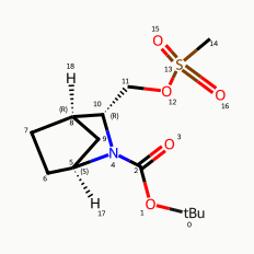 CC(C)(C)OC(=O)N1[C@H]2CC[C@H](C2)[C@@H]1COS(C)(=O)=O